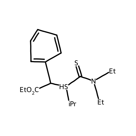 CCOC(=O)C(c1ccccc1)[SH](C(=S)N(CC)CC)C(C)C